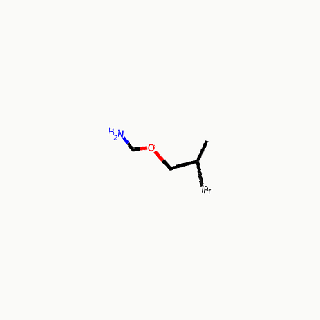 CC(C)C(C)COCN